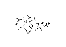 Cc1ccccc1P(=O)(O)CC(C)C(=O)O